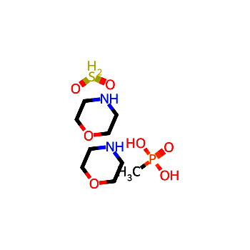 C1COCCN1.C1COCCN1.CP(=O)(O)O.O=[SH2]=O